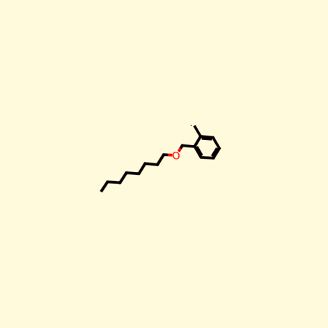 [CH2]c1ccccc1COCCCCCCCC